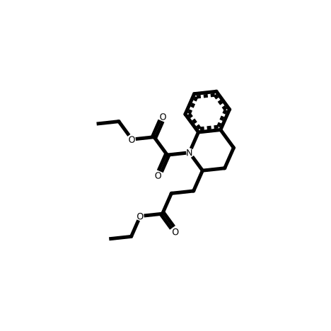 CCOC(=O)CCC1CCc2ccccc2N1C(=O)C(=O)OCC